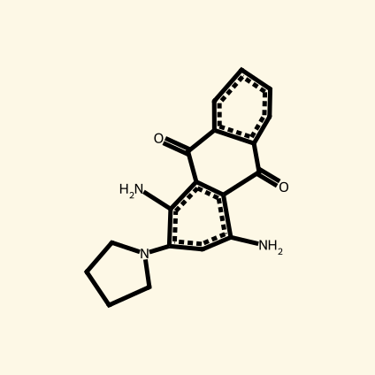 Nc1cc(N2CCCC2)c(N)c2c1C(=O)c1ccccc1C2=O